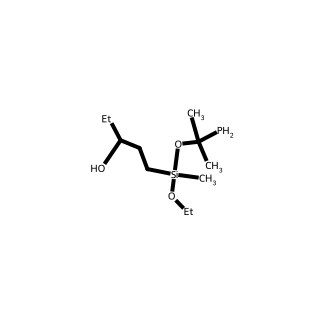 CCO[Si](C)(CCC(O)CC)OC(C)(C)P